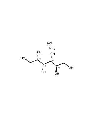 Cl.N.OC[C@@H](O)[C@@H](O)[C@H](O)[C@@H](O)CO